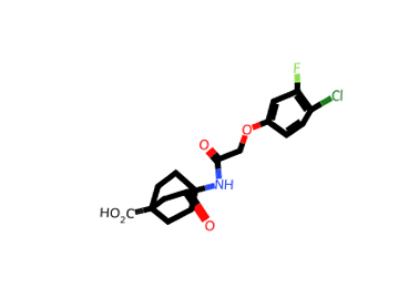 O=C(COc1ccc(Cl)c(F)c1)NC12CCC(C(=O)O)(CC1)CC2=O